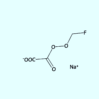 O=C([O-])C(=O)OOCF.[Na+]